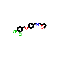 Clc1ccc(COc2ccc(C=NCc3ccco3)cc2)cc1Cl